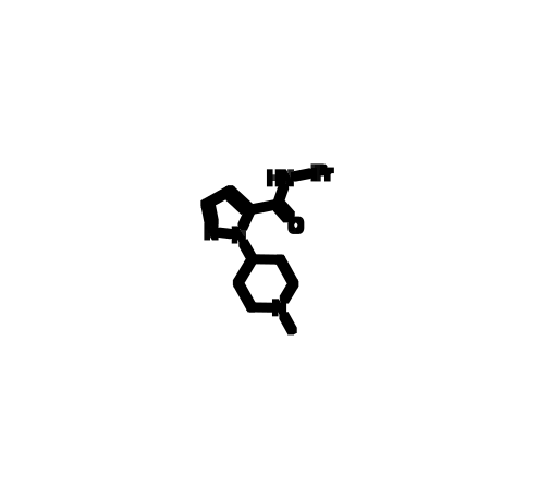 CC(C)NC(=O)c1ccnn1C1CCN(C)CC1